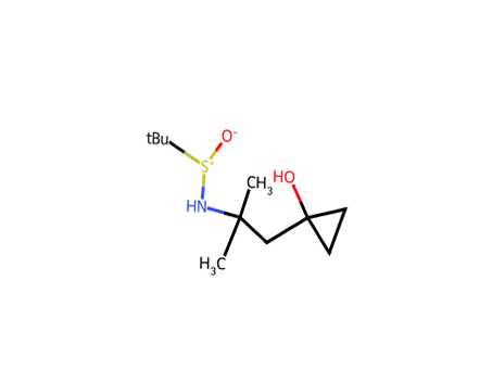 CC(C)(CC1(O)CC1)N[S+]([O-])C(C)(C)C